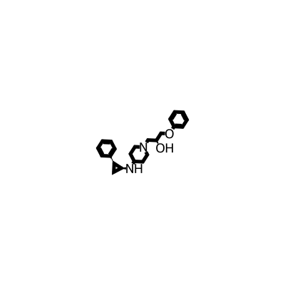 O[C@@H](COc1ccccc1)CN1CCC(N[C@H]2C[C@@H]2c2ccccc2)CC1